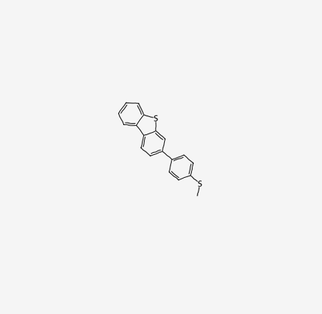 CSc1ccc(-c2ccc3c(c2)sc2ccccc23)cc1